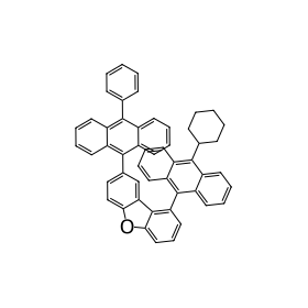 c1ccc(-c2c3ccccc3c(-c3ccc4oc5cccc(-c6c7ccccc7c(C7CCCCC7)c7ccccc67)c5c4c3)c3ccccc23)cc1